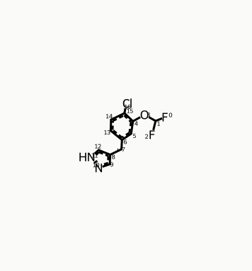 FC(F)Oc1cc([CH]c2cn[nH]c2)ccc1Cl